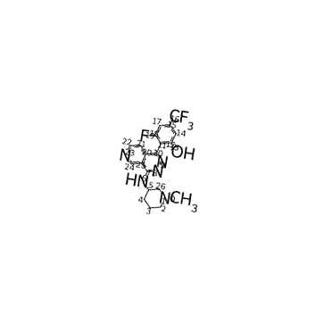 CN1CCC[C@@H](Nc2nnc(-c3c(O)cc(C(F)(F)F)cc3F)c3ccncc23)C1